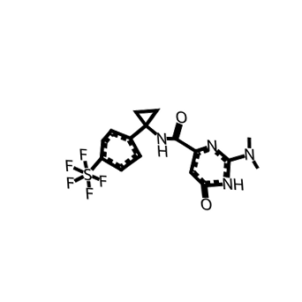 CN(C)c1nc(C(=O)NC2(c3ccc(S(F)(F)(F)(F)F)cc3)CC2)cc(=O)[nH]1